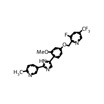 COc1cc(OCc2ncc(C(F)(F)F)cc2F)ccc1-c1cnc(-c2ccc(C)nc2)[nH]1